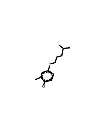 Cc1cc(OCCCC(C)C)ccc1Cl